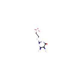 N=C1N=C(NCCP(=O)(O)O)NC(=O)/C1=N/O